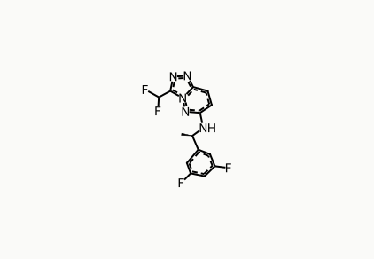 C[C@@H](Nc1ccc2nnc(C(F)F)n2n1)c1cc(F)cc(F)c1